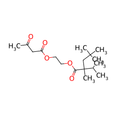 CC(=O)CC(=O)OCCOC(=O)C(C)(CC(C)(C)C)C(C)C